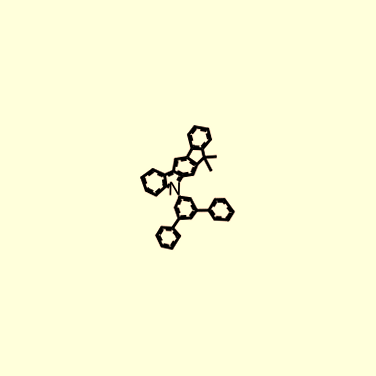 CC1(C)c2ccccc2-c2cc3c4ccccc4n(-c4cc(-c5ccccc5)cc(-c5ccccc5)c4)c3cc21